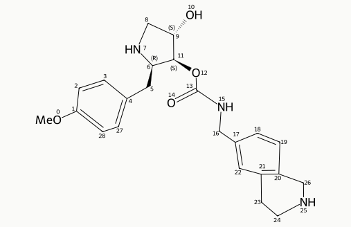 COc1ccc(C[C@H]2NC[C@H](O)[C@H]2OC(=O)NCc2ccc3c(c2)CCNC3)cc1